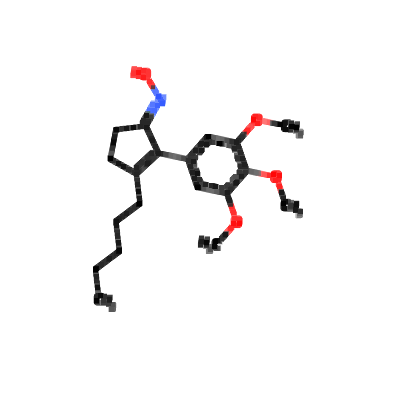 CCCCCC1=C(c2cc(OC)c(OC)c(OC)c2)C(=NO)CC1